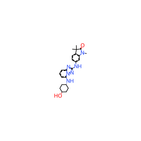 CN1C(=O)C(C)(C)c2ccc(Nc3nc4cccc(N[C@H]5CC[C@H](O)CC5)n4n3)cc21